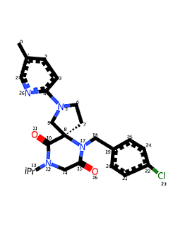 Cc1ccc(N2CC[C@@]3(C2)C(=O)N(C(C)C)CC(=O)N3Cc2ccc(Cl)cc2)nc1